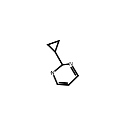 C1=C[N]C(C2CC2)N=C1